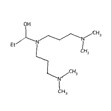 CCC(O)N(CCCN(C)C)CCCN(C)C